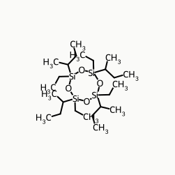 CCC(C)[Si]1(CC)O[Si](CC)(C(C)CC)O[Si](CC)(C(C)CC)O[Si](CC)(C(C)CC)O1